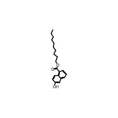 CCCCCCCCCCOC(=O)c1cccc2cc(O)ccc12